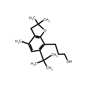 Cc1cc(C(C)(C)C)c(CCCO)c2c1CC(C)(C)O2